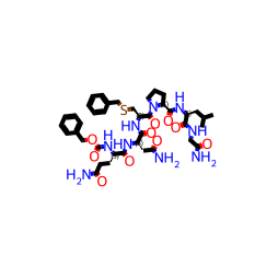 CC(C)C[C@H](NC(=O)[C@@H]1CCCN1C(=O)[C@H](CSCc1ccccc1)NC(=O)[C@H](CC(N)=O)NC(=O)[C@H](CCC(N)=O)NC(=O)OCc1ccccc1)C(=O)NCC(N)=O